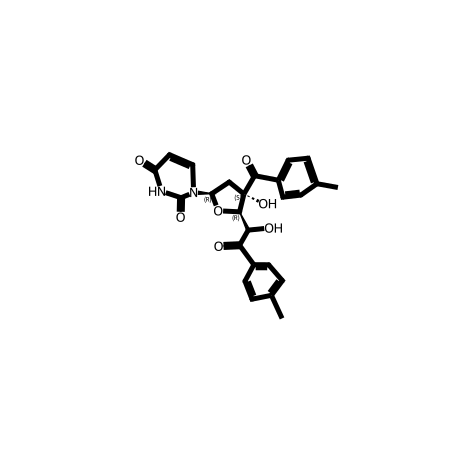 Cc1ccc(C(=O)C(O)[C@H]2O[C@@H](n3ccc(=O)[nH]c3=O)C[C@@]2(O)C(=O)c2ccc(C)cc2)cc1